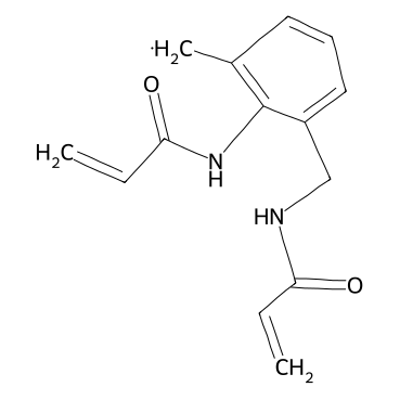 [CH2]c1cccc(CNC(=O)C=C)c1NC(=O)C=C